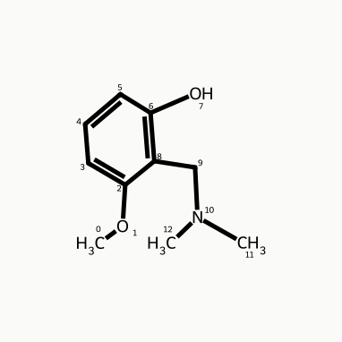 COc1cccc(O)c1CN(C)C